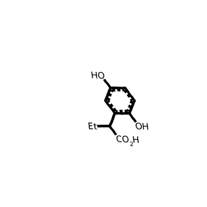 CCC(C(=O)O)c1cc(O)ccc1O